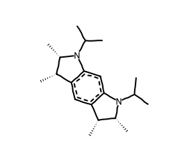 CC(C)N1c2cc3c(cc2[C@@H](C)[C@H]1C)[C@H](C)[C@H](C)N3C(C)C